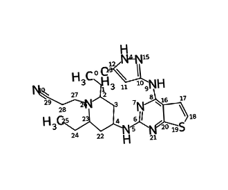 CCC1CC(Nc2nc(Nc3cc(C)[nH]n3)c3ccsc3n2)CC(CC)N1CCC#N